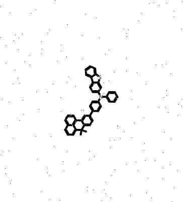 CC1(C)c2ccc(-c3ccc(N(c4ccccc4)c4ccc5c(c4)sc4ccccc45)cc3)cc2-c2cccc3cccc1c23